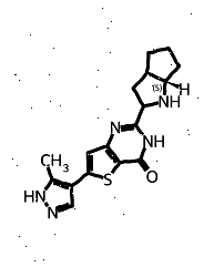 Cc1[nH]ncc1-c1cc2nc(C3CC4CCC[C@@H]4N3)[nH]c(=O)c2s1